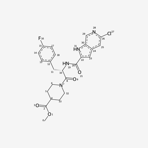 COC(=O)C1CCN(C(=O)[C@H](Cc2ccc(F)cc2)NC(=O)c2cc3cc(Cl)ncc3[nH]2)CC1